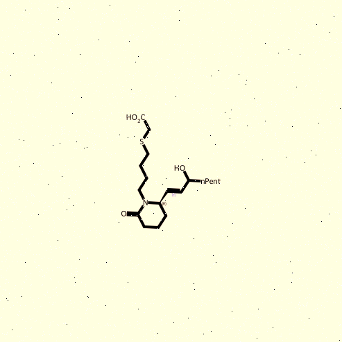 CCCCCC(O)/C=C/[C@H]1CCCC(=O)N1CCCCSCC(=O)O